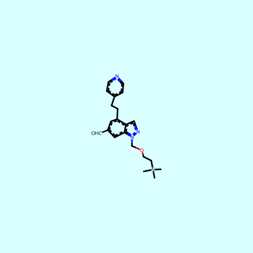 C[Si](C)(C)CCOCn1ncc2c(CCc3ccncc3)cc(C=O)cc21